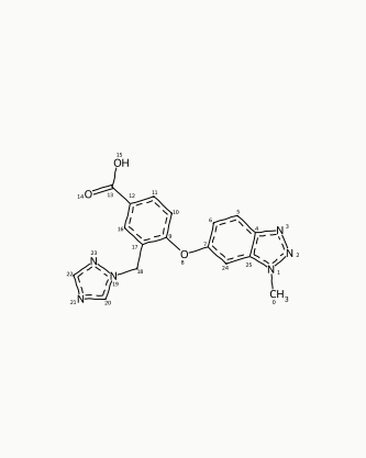 Cn1nnc2ccc(Oc3ccc(C(=O)O)cc3Cn3cncn3)cc21